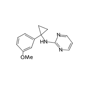 COc1cccc(C2(Nc3ncccn3)CC2)c1